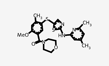 COc1cc(C)c(Sc2cnc(Nc3cc(C)cc(C)n3)s2)cc1C(=O)N1CCOCC1